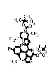 CSc1cc(F)cc(F)c1-c1c(-c2cc3n(n2)[C@@H](C)CN(C(=O)OC(C)(C)C)[C@@H]3C)nc(OS(=O)(=O)C(F)(F)F)c2scc(F)c12